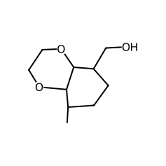 CC1CCC(CO)C2OCCOC12